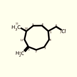 C=C1CCCC(CCl)CCC(C)C1